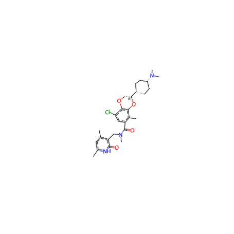 Cc1cc(C)c(CN(C)C(=O)c2cc(Cl)c3c(c2C)O[C@@H]([C@H]2CC[C@@H](N(C)C)CC2)CO3)c(=O)[nH]1